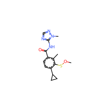 COSc1c(C2CC2)ccc(C(=O)Nc2ncnn2C)c1C